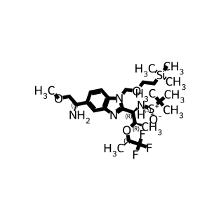 COC[C@@H](N)c1ccc2c(c1)nc([C@@H](N[S@+]([O-])C(C)(C)C)[C@@H](C)O[C@@H](C)C(F)(F)F)n2COCC[Si](C)(C)C